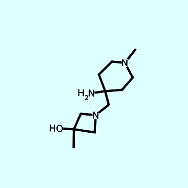 CN1CCC(N)(CN2CC(C)(O)C2)CC1